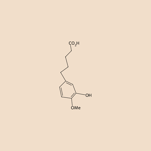 COc1ccc(CCCCC(=O)O)cc1O